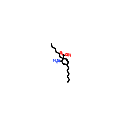 CCCCCCC1=CC(N)C(CCCCCC)(C(=O)O)C=C1